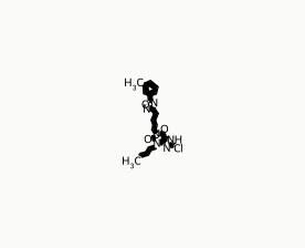 CCCCCn1c(=O)n(CCCCc2noc(-c3cccc(C)c3)n2)c(=O)c2[nH]c(Cl)nc21